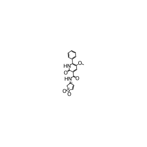 COc1cc(C(=O)N[C@@H]2C=CS(=O)(=O)C2)c(=O)[nH]c1-c1ccccc1